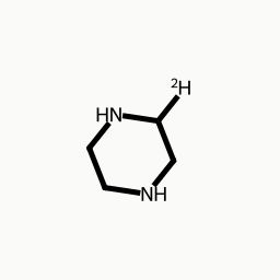 [2H]C1CNCCN1